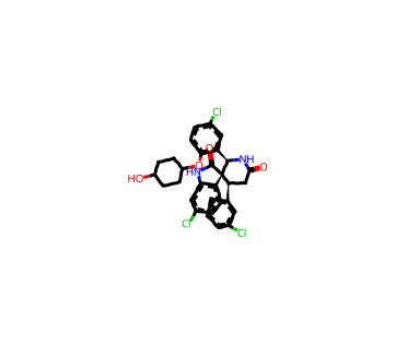 O=C1C[C@@H](c2cccc(Cl)c2)[C@]2(C(=O)Nc3cc(Cl)ccc32)[C@@H](c2cc(Cl)ccc2OC2CCC(O)CC2)N1